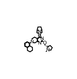 CN1CCC[C@H]1COc1nc2c(c(N3CC4CCC(C3)N4)n1)CCN(c1cccc3c1CCCC3)C2